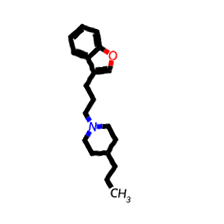 CCCC1CCN(CCCc2coc3ccccc23)CC1